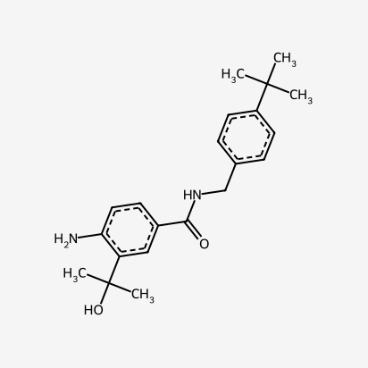 CC(C)(C)c1ccc(CNC(=O)c2ccc(N)c(C(C)(C)O)c2)cc1